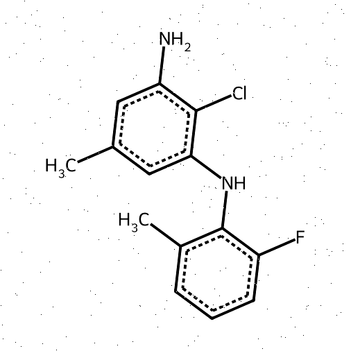 Cc1cc(N)c(Cl)c(Nc2c(C)cccc2F)c1